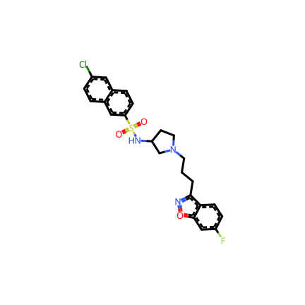 O=S(=O)(NC1CCN(CCCc2noc3cc(F)ccc23)C1)c1ccc2cc(Cl)ccc2c1